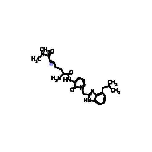 CC(C)Cc1cccc2[nH]c(Cn3cccc(NC(=O)C(N)CC/C=C/C(=O)N(C)C)c3=O)nc12